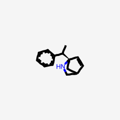 CC(c1ccccc1)[C@]12C=CC(CN1)C2